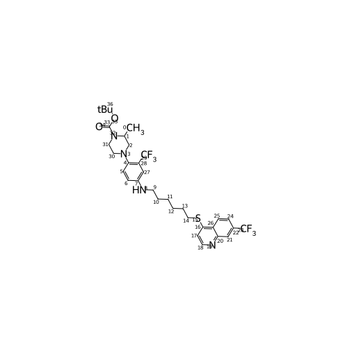 CC1CN(c2ccc(NCCCCCCSc3ccnc4cc(C(F)(F)F)ccc34)cc2C(F)(F)F)CCN1C(=O)OC(C)(C)C